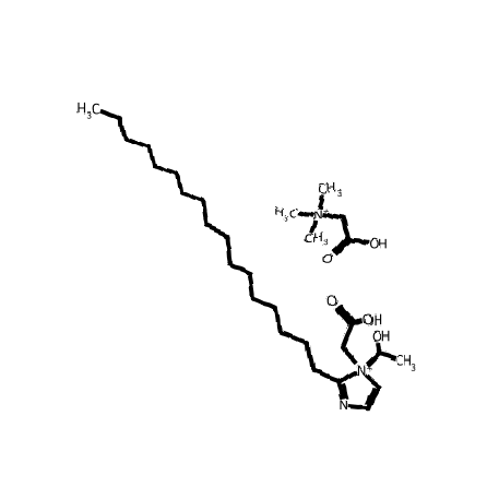 CCCCCCCCCCCCCCCCCC1=NC=C[N+]1(CC(=O)O)C(C)O.C[N+](C)(C)CC(=O)O